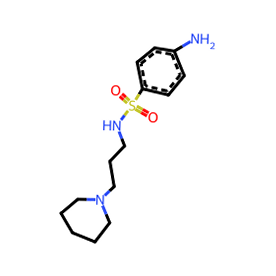 Nc1ccc(S(=O)(=O)NCCCN2CCCCC2)cc1